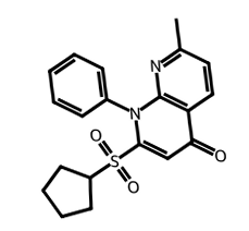 Cc1ccc2c(=O)cc(S(=O)(=O)C3CCCC3)n(-c3ccccc3)c2n1